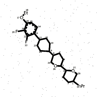 CCCC1CCC(C2CCC(C3CCC(c4ccc(OCC)c(F)c4F)CC3)CO2)OC1